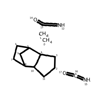 C.C.C1CC2C3CCC(C3)C2C1.N=C=O.N=C=O